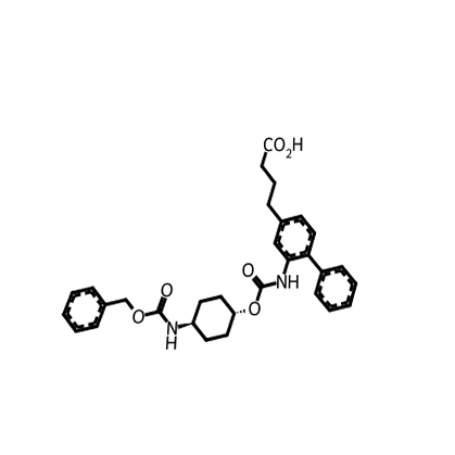 O=C(O)CCCc1ccc(-c2ccccc2)c(NC(=O)O[C@H]2CC[C@H](NC(=O)OCc3ccccc3)CC2)c1